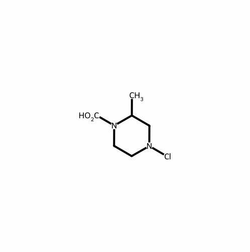 CC1CN(Cl)CCN1C(=O)O